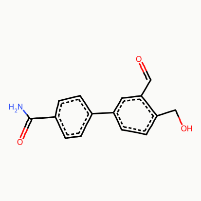 NC(=O)c1ccc(-c2ccc(CO)c(C=O)c2)cc1